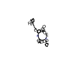 COCOc1cc(OCCCNc2ccccn2)cc2c1C(=O)O[C@@H](C)[C@H](C)/C=C\C(OC(=O)c1ccccc1)C1OC(C)(C)OC1C/C=C/2